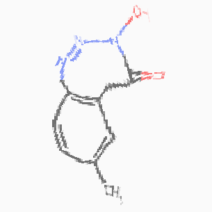 Cc1ccc2nnn(O)c(=O)c2c1